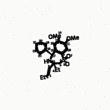 CC/C=C/[C@@]1(CC)CS(=O)(=O)c2cc(OC)c(OC)cc2[C@H](c2ccccc2)N1